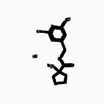 Cl.NC1(C(=O)OCc2cc(Cl)nc(Cl)c2)CCCC1